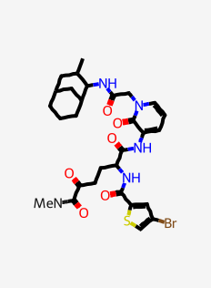 CNC(=O)C(=O)CCC(NC(=O)c1cc(Br)cs1)C(=O)Nc1cccn(CC(=O)NC2C(C)CC3CCCC2C3)c1=O